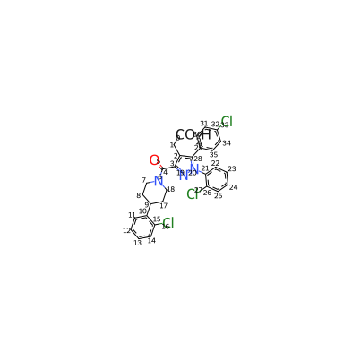 O=C(O)Cc1c(C(=O)N2CCC(c3ccccc3Cl)CC2)nn(-c2ccccc2Cl)c1-c1ccc(Cl)cc1